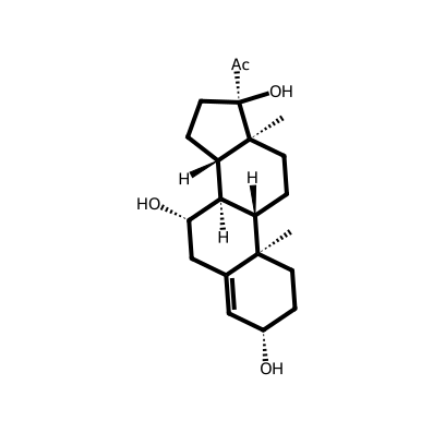 CC(=O)[C@@]1(O)CC[C@H]2[C@@H]3[C@@H](O)CC4=C[C@@H](O)CC[C@]4(C)[C@H]3CC[C@@]21C